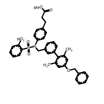 COC(=O)CCc1ccc(N(Cc2cccc(-c3c(C)cc(OCc4ccccc4)cc3C)c2)S(=O)(=O)c2ccccc2[N+](=O)[O-])cc1